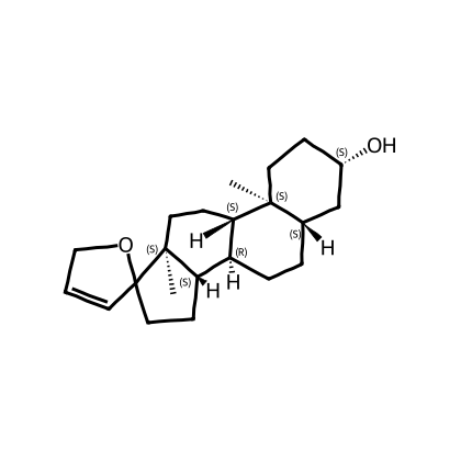 C[C@]12CC[C@H](O)C[C@@H]1CC[C@@H]1[C@@H]2CC[C@@]2(C)[C@H]1CCC21C=CCO1